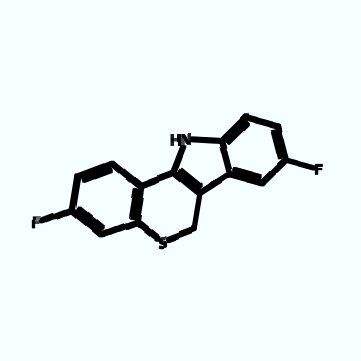 Fc1ccc2c(c1)SCc1c-2[nH]c2ccc(F)cc12